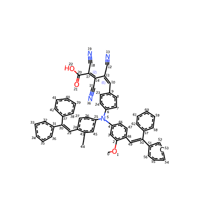 COc1cc(N(c2ccc(/C=C(C#N)\C(C#N)=C(/C#N)C(=O)O)cc2)c2ccc(C=C(c3ccccc3)c3ccccc3)c(C)c2)ccc1C=C(c1ccccc1)c1ccccc1